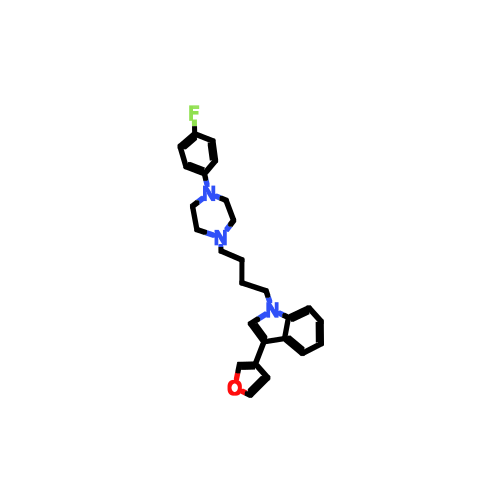 Fc1ccc(N2CCN(CCCCn3cc(-c4ccoc4)c4ccccc43)CC2)cc1